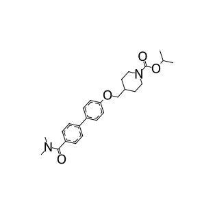 CC(C)OC(=O)N1CCC(COc2ccc(-c3ccc(C(=O)N(C)C)cc3)cc2)CC1